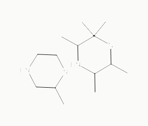 CC1CNCCN1.CC1NC(C)C(C)(C)NC1C